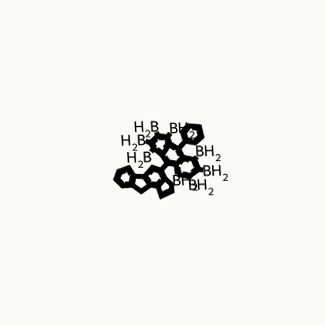 Bc1c(B)c(B)c2c(-c3cc4c(c5c3CC=C5)Cc3ccccc3-4)c3c(B)c(B)c(B)c(B)c3c(-c3ccccc3)c2c1B